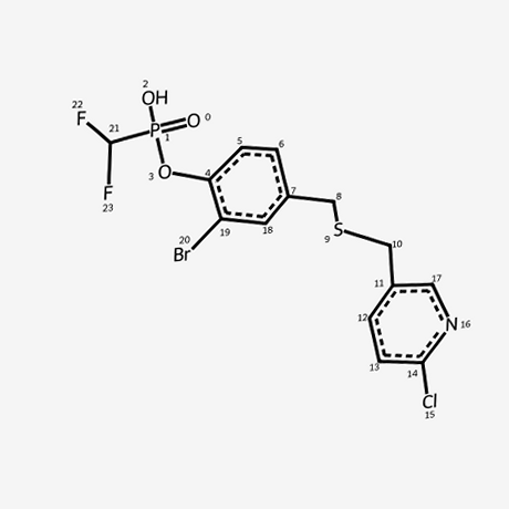 O=P(O)(Oc1ccc(CSCc2ccc(Cl)nc2)cc1Br)C(F)F